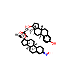 C#C[C@]1(OC(C)=O)CC[C@H]2[C@@H]3CCC4=C/C(=N/O)CC[C@@H]4[C@H]3CC[C@@]21CC.C[C@]12CC[C@@H]3c4ccc(O)cc4CC[C@H]3[C@@H]1CC[C@@H]2O